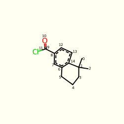 CC1(C)CCCc2cc(C(=O)Cl)ccc21